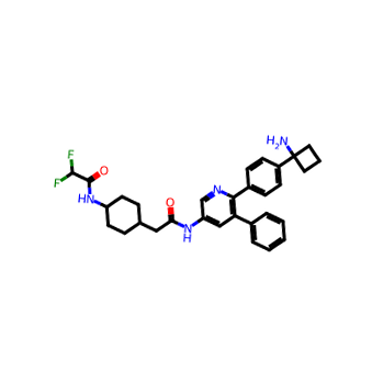 NC1(c2ccc(-c3ncc(NC(=O)CC4CCC(NC(=O)C(F)F)CC4)cc3-c3ccccc3)cc2)CCC1